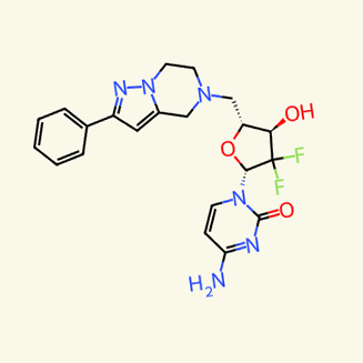 Nc1ccn([C@@H]2O[C@H](CN3CCn4nc(-c5ccccc5)cc4C3)[C@@H](O)C2(F)F)c(=O)n1